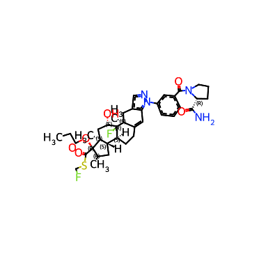 CCC(=O)O[C@]1(C(=O)SCF)[C@H](C)C[C@H]2[C@@H]3CCC4=Cc5c(cnn5-c5cccc(C(=O)N6CCC[C@@H]6C(N)=O)c5)C[C@]4(C)[C@@]3(F)[C@@H](O)C[C@@]21C